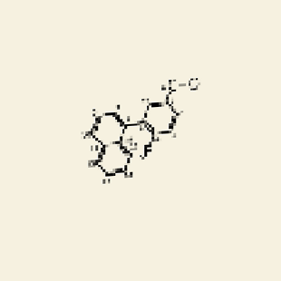 O=Cc1ccc(F)c(-c2cccc3ccccc23)c1